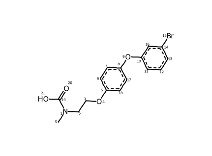 CN(CCOc1ccc(Oc2cccc(Br)c2)cc1)C(=O)O